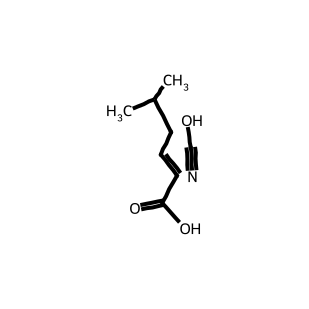 CC(C)CC=CC(=O)O.N#CO